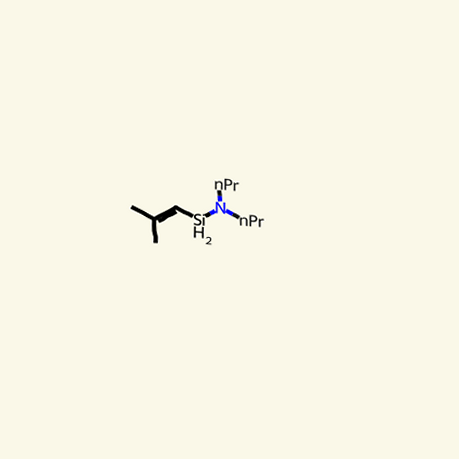 CCCN(CCC)[SiH2]C=C(C)C